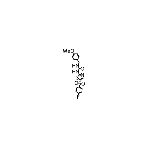 COc1ccc(CNC(=O)Nc2ncc(S(=O)(=O)c3ccc(F)cc3)s2)cc1